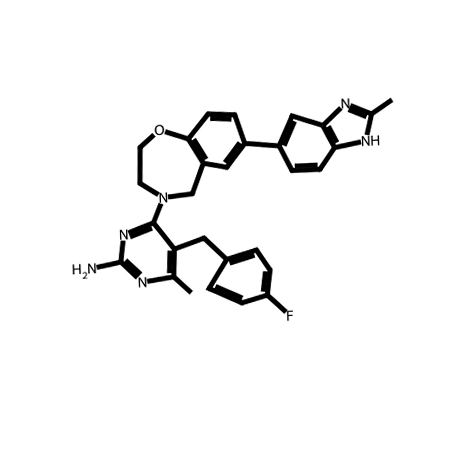 Cc1nc2cc(-c3ccc4c(c3)CN(c3nc(N)nc(C)c3Cc3ccc(F)cc3)CCO4)ccc2[nH]1